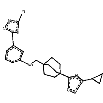 CCc1noc(-c2cccc(NCC34CCC(c5nc(C6CC6)no5)(CC3)CC4)c2)n1